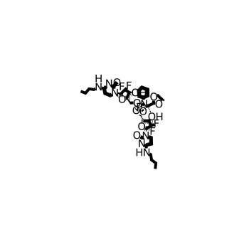 CCCCNc1ccn([C@@H]2O[C@H](COP(=O)(OC[C@H]3O[C@@H](n4ccc(NCCCC)nc4=O)C(F)(F)[C@@H]3O)N(c3ccccc3)[C@@H](C)C3OCCO3)[C@@H](O)C2(F)F)c(=O)n1